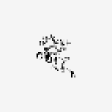 N#Cc1cccc(-c2c[nH]c3cccc([N+](=O)[O-])c23)c1